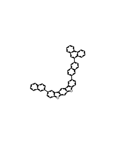 c1ccc2cc(-c3ccc4oc5cc6oc7ccc(-c8ccc9cc(-c%10cc%11ccccc%11c%11ccccc%10%11)ccc9c8)cc7c6cc5c4c3)ccc2c1